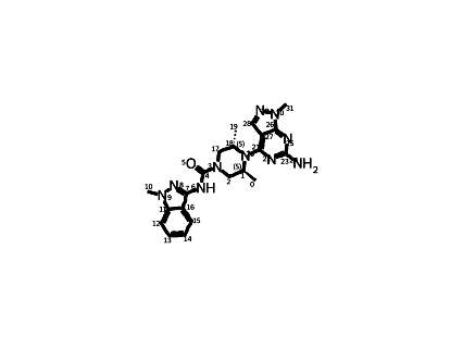 C[C@H]1CN(C(=O)Nc2nn(C)c3ccccc23)C[C@H](C)N1c1nc(N)nc2c1cnn2C